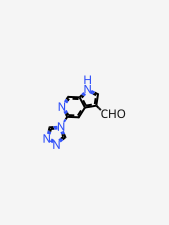 O=Cc1c[nH]c2cnc(-n3cnnc3)cc12